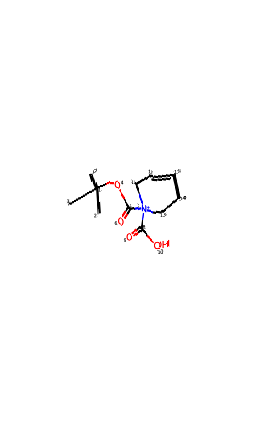 CC(C)(C)OC(=O)[N+]1(C(=O)O)CC=CCC1